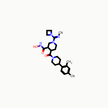 Cc1cc(C#N)ccc1C1CCN(C(=O)C2CCN(C(=NC#N)N3CCC3)CC2C(=O)NO)CC1